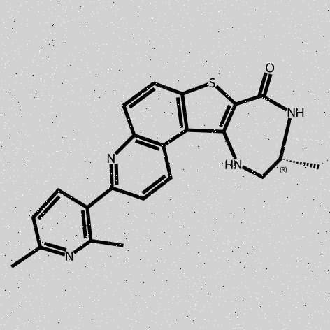 Cc1ccc(-c2ccc3c(ccc4sc5c(c43)NC[C@@H](C)NC5=O)n2)c(C)n1